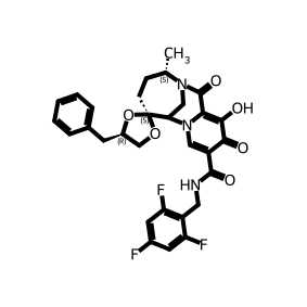 C[C@H]1CC[C@@]2(OC[C@@H](Cc3ccccc3)O2)C2CN1C(=O)c1c(O)c(=O)c(C(=O)NCc3c(F)cc(F)cc3F)cn12